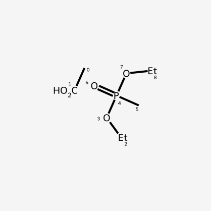 CC(=O)O.CCOP(C)(=O)OCC